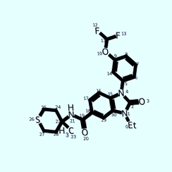 CCn1c(=O)n(-c2cccc(OC(F)F)c2)c2ccc(C(=O)NC3(C)CCSCC3)cc21